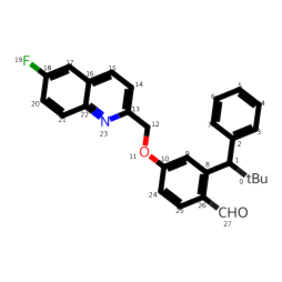 CC(C)(C)C(c1ccccc1)c1cc(OCc2ccc3cc(F)ccc3n2)ccc1C=O